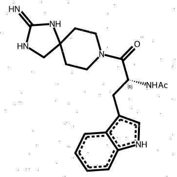 CC(=O)N[C@H](Cc1c[nH]c2ccccc12)C(=O)N1CCC2(CC1)CNC(=N)N2